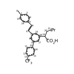 Cc1ccc(C=Cc2cc(-c3ccc(C(F)(F)F)cc3)cc(C(CC(C)C)C(=O)O)c2)cc1